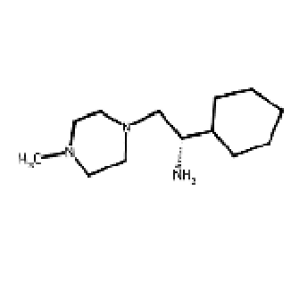 CN1CCN(C[C@@H](N)C2CCCCC2)CC1